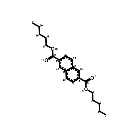 CCCCCOC(=O)c1ccc2cc(C(=O)OCCCCC)ccc2c1